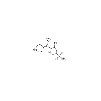 NS(=O)(=O)c1cnc(N(C2CCNCC2)C2CC2)c(Cl)c1